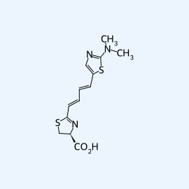 CN(C)c1ncc(/C=C/C=C/C2=N[C@@H](C(=O)O)CS2)s1